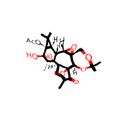 CC(=O)O[C@@]12[C@H](O)[C@@H](C)[C@@]3(O)[C@H]([C@@H]1C2(C)C)[C@@H]1O[C@@]12COC(C)(C)O[C@H]2[C@]1(O)C(=O)C(C)=C[C@H]13